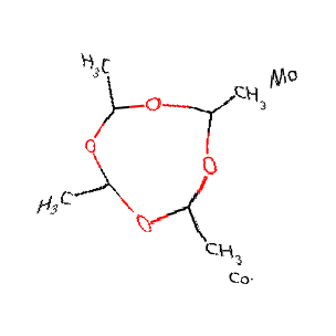 CC1OC(C)OC(C)OC(C)O1.[Co].[Mo]